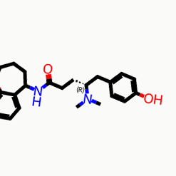 CN(C)[C@H](CCC(=O)NC1CCCOc2ccccc21)Cc1ccc(O)cc1